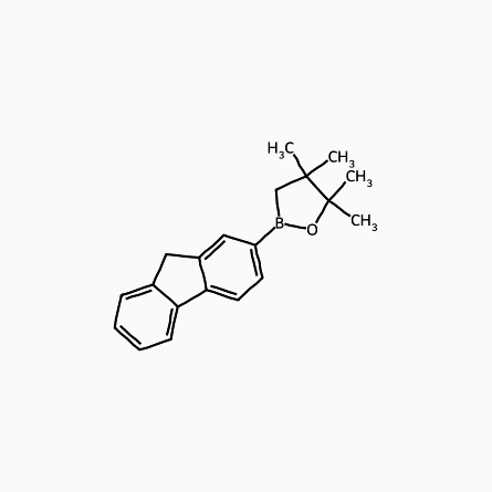 CC1(C)CB(c2ccc3c(c2)Cc2ccccc2-3)OC1(C)C